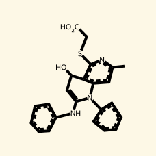 Cc1cc2c(c(SCC(=O)O)n1)C(O)C=C(Nc1ccccc1)N2c1ccccc1